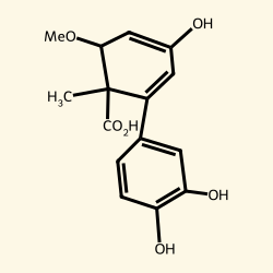 COC1C=C(O)C=C(c2ccc(O)c(O)c2)C1(C)C(=O)O